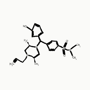 C=CCN1C[C@@H](C)N(C(c2ccc(S(=O)(=O)N(C)C)cc2)c2cccc(O)c2)C[C@H]1C